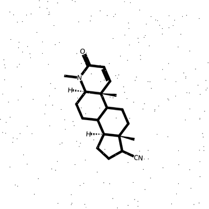 CN1C(=O)C=C[C@]2(C)C3CC[C@]4(C)C(C#N)CC[C@H]4C3CC[C@@H]12